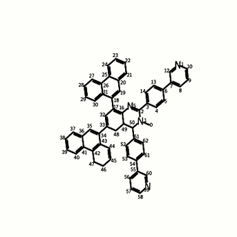 CN1C(c2ccc(-c3cccnc3)cc2)=NC2=C(c3cc4ccccc4c4ccccc34)C=C(c3cc4ccccc4c4c3C=CCC4)CC2C1c1ccc(-c2cccnc2)cc1